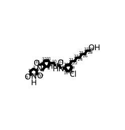 O=C1CCC(N2Cc3cc(CNC(=O)Nc4cc(Cl)cc(CCCCCCCCO)c4)ccc3C2=O)C(=O)N1